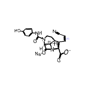 N#C/C=C\C1=C(C(=O)[O-])N2C(=O)[C@@H]3[C@H]2C1CCN3C(=O)Nc1ccc(O)cc1.[Na+]